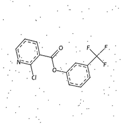 O=C(Oc1cccc(C(F)(F)F)c1)c1cccnc1Cl